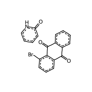 O=C1c2ccccc2C(=O)c2c(Br)cccc21.O=c1cccc[nH]1